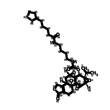 CC(C)[C@]12O[C@H]1[C@@H]1O[C@]13[C@]1(O[C@H]1C[C@H]1C4=C(CC[C@@]13C)C(=O)OC4)[C@@H]2OC(=O)NCCCCNC(=O)CCCCC1CCSS1